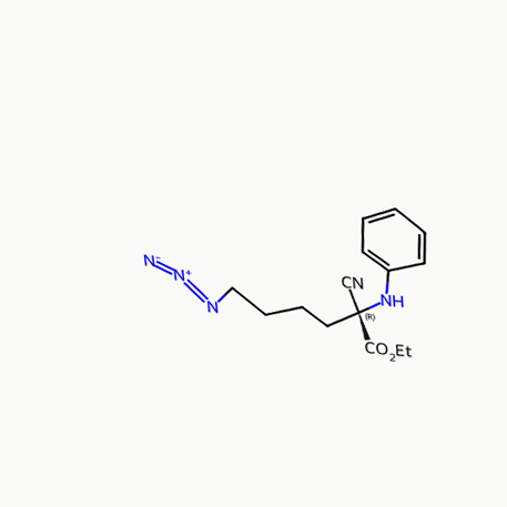 CCOC(=O)[C@](C#N)(CCCCN=[N+]=[N-])Nc1ccccc1